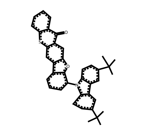 CC(C)(C)c1ccc2c(c1)c1cc(C(C)(C)C)ccc1n2-c1cccc2c1oc1cc3c(=O)c4ccccc4sc3cc12